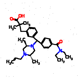 C=CCN1C[C@@H](C)N([C@H](c2ccc(C(=O)N(CC)CC)cc2)c2cccc(CC(C)(C)C(=O)O)c2)C[C@@H]1C